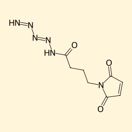 N=NN=NNC(=O)CCCN1C(=O)C=CC1=O